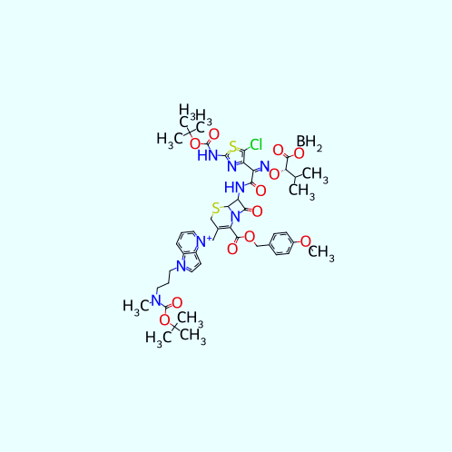 BOC(=O)[C@@H](O/N=C(\C(=O)NC1C(=O)N2C(C(=O)OCc3ccc(OC)cc3)=C(C[n+]3cccc4c3ccn4CCCN(C)C(=O)OC(C)(C)C)CSC12)c1nc(NC(=O)OC(C)(C)C)sc1Cl)C(C)C